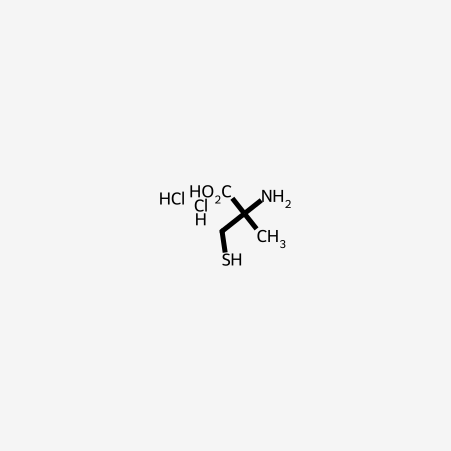 CC(N)(CS)C(=O)O.Cl.Cl